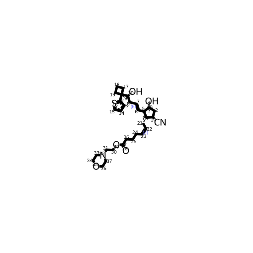 N#CC1C[C@@H](O)C(/C=C/CC(O)C2(c3cccs3)CCC2)[C@H]1C/C=C\CCCC(=O)OCCN1CCOCC1